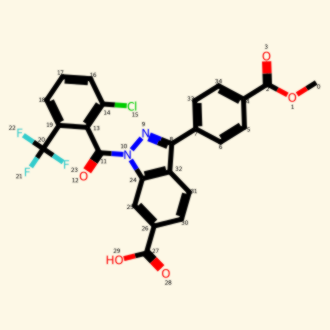 COC(=O)c1ccc(-c2nn(C(=O)c3c(Cl)cccc3C(F)(F)F)c3cc(C(=O)O)ccc23)cc1